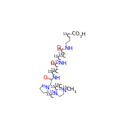 [13CH3][15N]1CC[15N]([13CH2]C2CCC[15N]2CC(=O)N[13CH2][13CH2][13C](=O)[15NH][13CH2][13CH2][13C](=O)NCC[13CH2]C(=O)O)[13CH2][13CH2]1